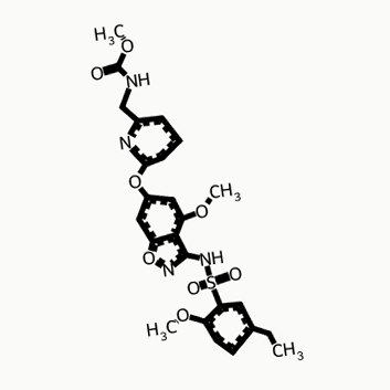 CCc1ccc(OC)c(S(=O)(=O)Nc2noc3cc(Oc4cccc(CNC(=O)OC)n4)cc(OC)c23)c1